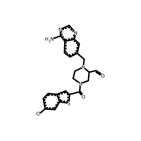 Nc1ncnc2cc(CN3CCN(C(=O)c4cc5ccc(Cl)cc5s4)CC3C=O)ccc12